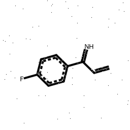 C=CC(=N)c1ccc(F)cc1